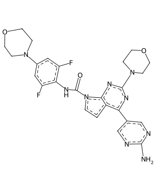 Nc1ncc(-c2nc(N3CCOCC3)nc3c2ccn3C(=O)Nc2c(F)cc(N3CCOCC3)cc2F)cn1